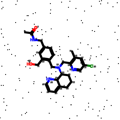 CC(=O)NCc1ccc(CN(Cc2ncc(Cl)cc2C)[C@H]2CCCC3=CC=CNC32)c(CO)c1